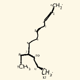 [CH2]C=CCCCCC(CC)CC[CH2]